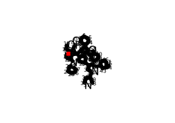 O=P1(c2ccccc2)c2ccccc2C2(c3ccccc3N(c3ccccc3)c3cc(-c4cc(-c5ccncc5)nc(-c5ccncc5)c4)ccc32)c2cc3c(cc21)oc1ccccc13